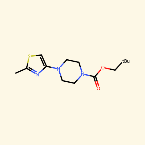 Cc1nc(N2CCN(C(=O)OCC(C)(C)C)CC2)cs1